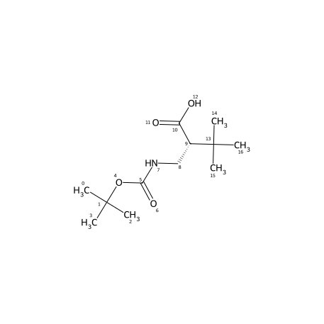 CC(C)(C)OC(=O)NC[C@H](C(=O)O)C(C)(C)C